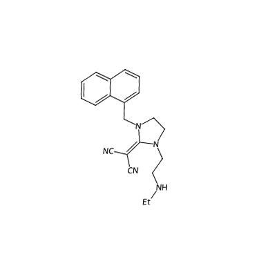 CCNCCN1CCN(Cc2cccc3ccccc23)C1=C(C#N)C#N